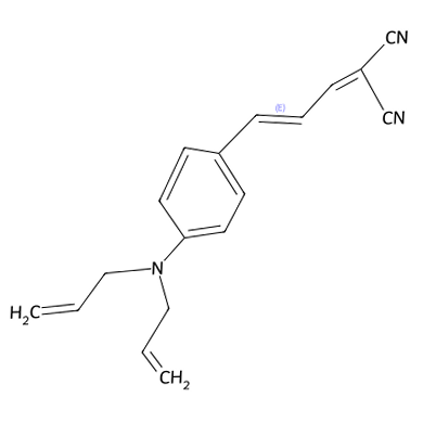 C=CCN(CC=C)c1ccc(/C=C/C=C(C#N)C#N)cc1